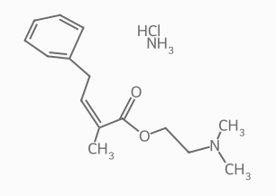 CC(=CCc1ccccc1)C(=O)OCCN(C)C.Cl.N